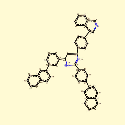 C1=C(c2ccc(-c3cncc4ccccc34)cc2)N=C(c2ccc(-c3ccc4ccccc4c3)cc2)NC1c1cccc(-c2ccc3ccccc3c2)c1